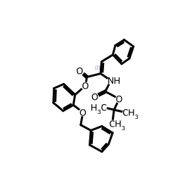 CC(C)(C)OC(=O)N/C(=C\c1ccccc1)C(=O)Oc1ccccc1OCc1ccccc1